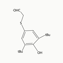 CC(C)(C)c1cc(SC[C]=O)cc(C(C)(C)C)c1O